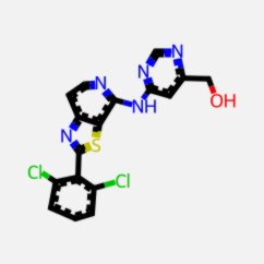 OCc1cc(Nc2nccc3nc(-c4c(Cl)cccc4Cl)sc23)ncn1